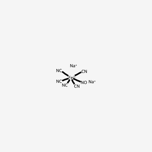 N#[C][Fe-2]([C]#N)([C]#N)([C]#N)([C]#N)[N]=O.[Na+].[Na+]